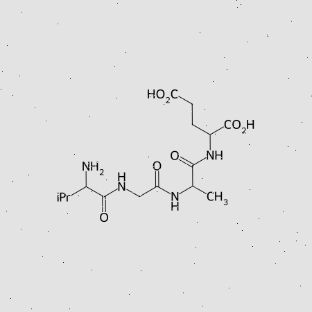 CC(NC(=O)CNC(=O)C(N)C(C)C)C(=O)NC(CCC(=O)O)C(=O)O